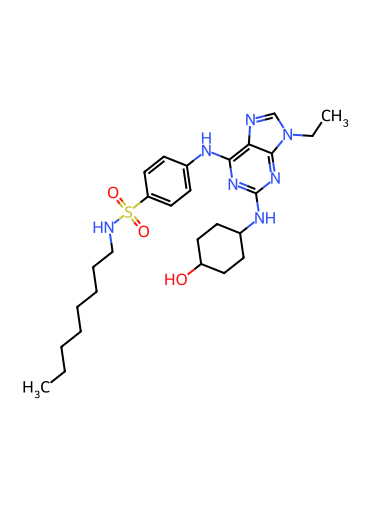 CCCCCCCCNS(=O)(=O)c1ccc(Nc2nc(NC3CCC(O)CC3)nc3c2ncn3CC)cc1